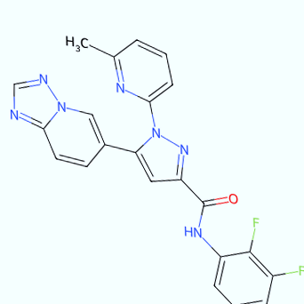 Cc1cccc(-n2nc(C(=O)Nc3cccc(F)c3F)cc2-c2ccc3ncnn3c2)n1